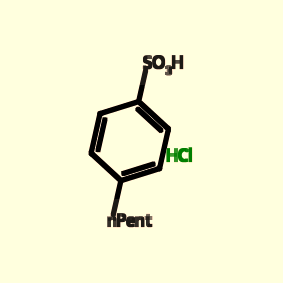 CCCCCc1ccc(S(=O)(=O)O)cc1.Cl